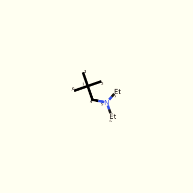 [CH2]C(C)(C)CN(CC)CC